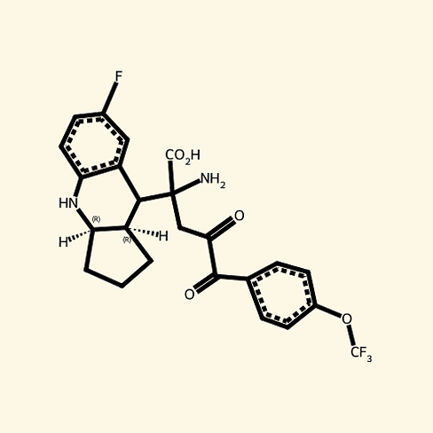 NC(CC(=O)C(=O)c1ccc(OC(F)(F)F)cc1)(C(=O)O)C1c2cc(F)ccc2N[C@@H]2CCC[C@H]12